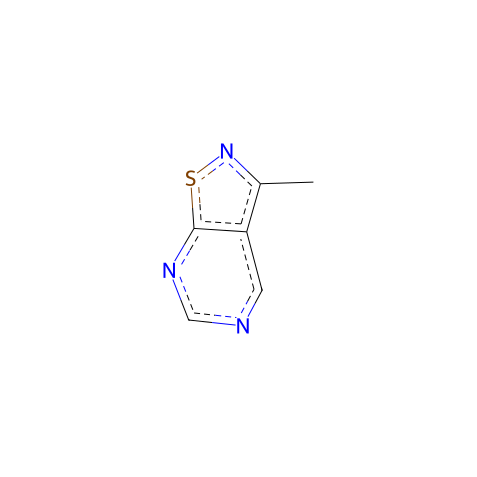 Cc1nsc2ncncc12